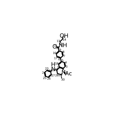 CC(=O)N1c2ccc(-c3ccc(C(=O)NCCO)cc3)cc2[C@H](Nc2ccccc2)C[C@@H]1C